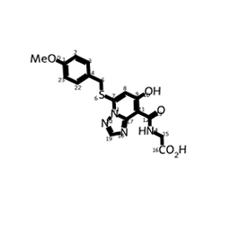 COc1ccc(CSc2cc(O)c(C(=O)NCC(=O)O)c3ncnn23)cc1